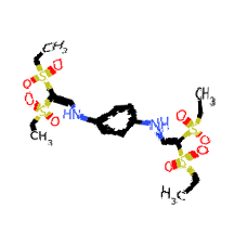 CCS(=O)(=O)C(=CNc1ccc(NC=C(S(=O)(=O)CC)S(=O)(=O)CC)cc1)S(=O)(=O)CC